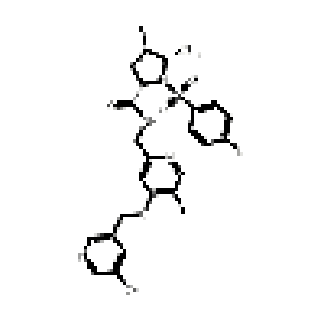 C[C@H]1[C@H](F)C[C@@H](C(=O)NCc2cc(OCc3cncc(C(F)(F)F)c3)c(F)cn2)N1S(=O)(=O)c1ccc(F)cc1